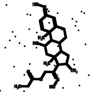 CCC(=O)OC/C(=N\O)C1C(C)CC2C3CCC4=C/C(=N/O)C=CC4(C)C3C(O)CC21C